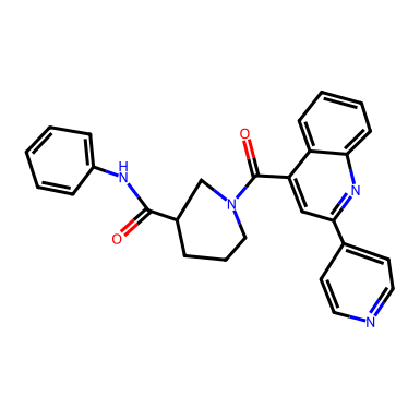 O=C(Nc1ccccc1)C1CCCN(C(=O)c2cc(-c3ccncc3)nc3ccccc23)C1